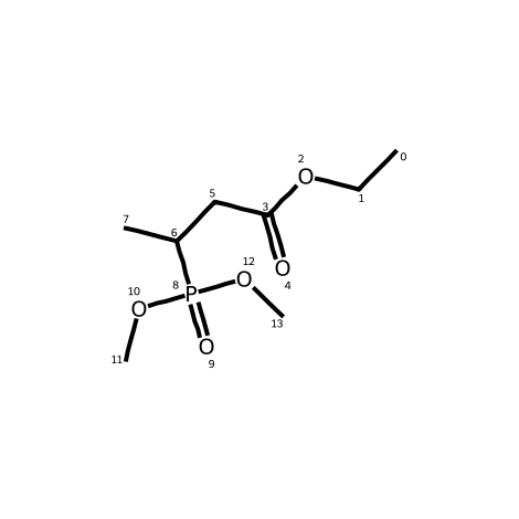 CCOC(=O)CC(C)P(=O)(OC)OC